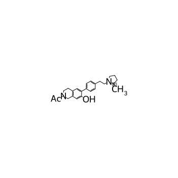 CC(=O)N1CCc2cc(-c3ccc(CCN4CCC[C@H]4C)cc3)c(O)cc2C1